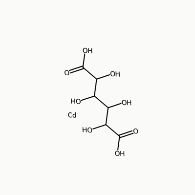 O=C(O)C(O)C(O)C(O)C(O)C(=O)O.[Cd]